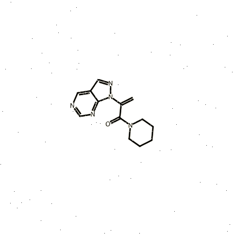 C=C(C(=O)N1CCCCC1)n1ncc2cncnc21